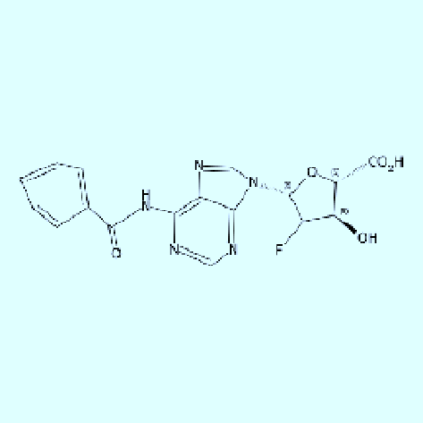 O=C(Nc1ncnc2c1ncn2[C@@H]1O[C@H](C(=O)O)[C@@H](O)C1F)c1ccccc1